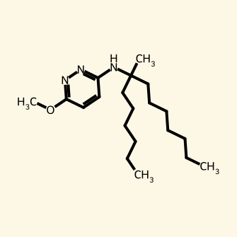 CCCCCCCC(C)(CCCCCC)Nc1ccc(OC)nn1